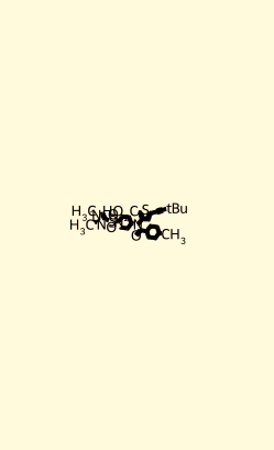 Cc1nc(S(=O)(=O)N2CCC(N(C(=O)C3CCC(C)CC3)c3cc(C#CC(C)(C)C)sc3C(=O)O)CC2)cn1C